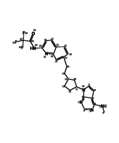 CNc1ncnc2c1ccn2C1CCC(CCc2ccc3ccc(NC(=O)C(F)(F)F)nc3c2)C1